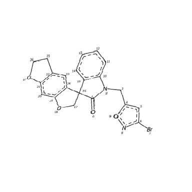 O=C1N(Cc2cc(Br)no2)c2ccccc2C12COc1cc3c(cc12)CCO3